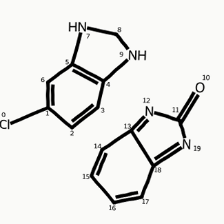 Clc1ccc2c(c1)NCN2.O=C1N=c2ccccc2=N1